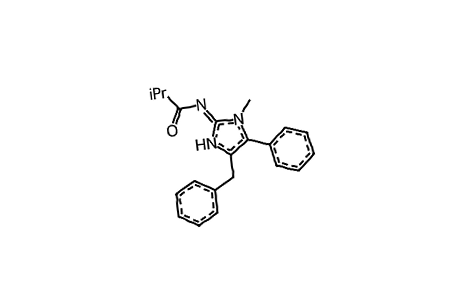 CC(C)C(=O)/N=c1\[nH]c(Cc2ccccc2)c(-c2ccccc2)n1C